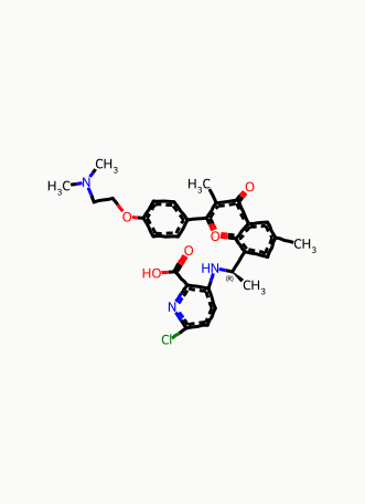 Cc1cc([C@@H](C)Nc2ccc(Cl)nc2C(=O)O)c2oc(-c3ccc(OCCN(C)C)cc3)c(C)c(=O)c2c1